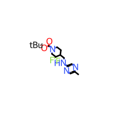 Cc1cnc(NCC2CCN(C(=O)OC(C)(C)C)CC2(F)F)cn1